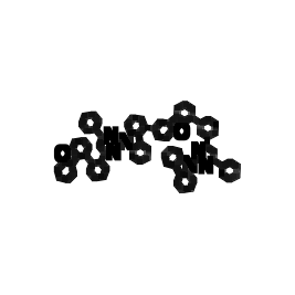 c1ccc(-c2cc(-c3cccc(-c4cccc5c4oc4ccc(-c6cccc7c6c6ccccc6n7-c6nc(-c7ccccc7)cc(-c7ccccc7-c7cccc8oc9ccccc9c78)n6)cc45)c3)nc(-n3c4ccccc4c4ccccc43)n2)cc1